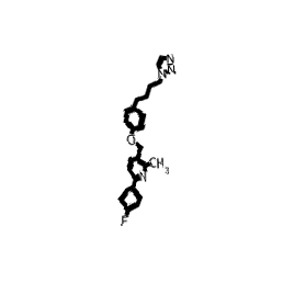 Cc1nc(-c2ccc(F)cc2)ccc1COc1ccc(CCCCn2ccnn2)cc1